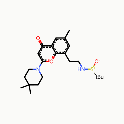 Cc1cc(CCN[S@+]([O-])C(C)(C)C)c2oc(N3CCC(C)(C)CC3)cc(=O)c2c1